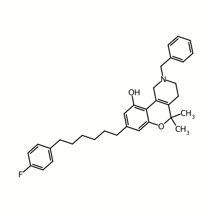 CC1(C)Oc2cc(CCCCCCc3ccc(F)cc3)cc(O)c2C2=C1CCN(Cc1ccccc1)C2